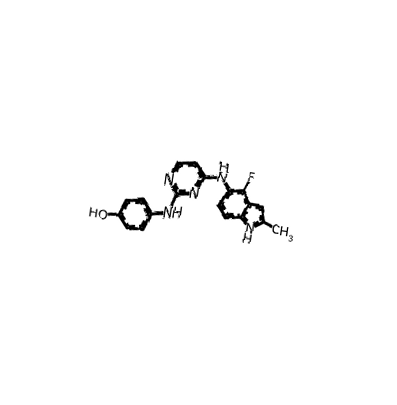 Cc1cc2c(F)c(Nc3ccnc(Nc4ccc(O)cc4)n3)ccc2[nH]1